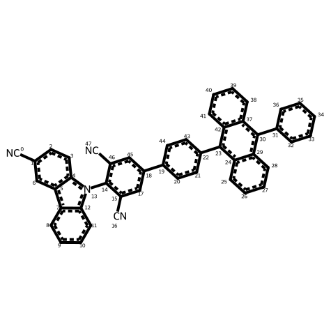 N#Cc1ccc2c(c1)c1ccccc1n2-c1c(C#N)cc(-c2ccc(-c3c4ccccc4c(-c4ccccc4)c4ccccc34)cc2)cc1C#N